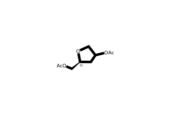 CC(=O)OC[C@@H]1CC(OC(C)=O)CO1